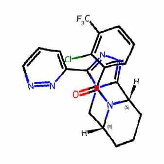 O=C(c1cccc(C(F)(F)F)c1Cl)N1[C@@H]2CCC[C@H]1c1nnc(-c3cccnn3)n1C2